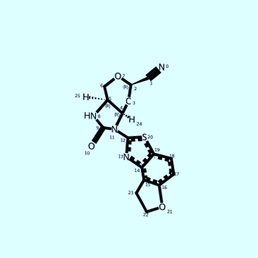 N#C[C@H]1C[C@@H]2[C@H](CO1)NC(=O)N2c1nc2c3c(ccc2s1)OCC3